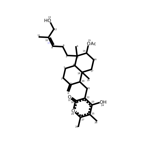 C=C1CCC2C(C)(CC/C=C(/C)CO)C(OC(C)=O)CCC2(C)C1Cc1c(O)c(C)c(C)oc1=O